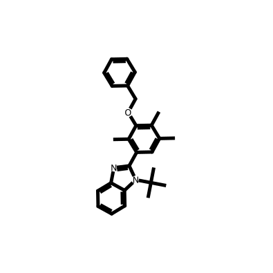 Cc1cc(-c2nc3ccccc3n2C(C)(C)C)c(C)c(OCc2ccccc2)c1C